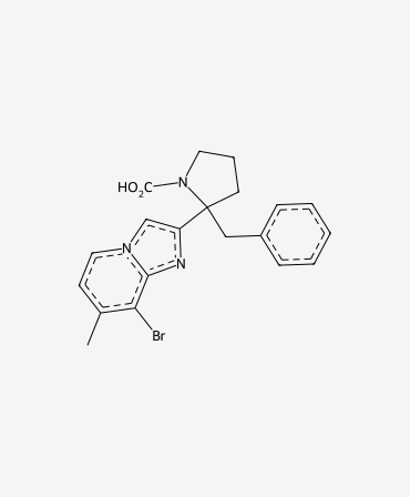 Cc1ccn2cc(C3(Cc4ccccc4)CCCN3C(=O)O)nc2c1Br